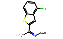 CO/N=C(/C(=O)O)c1cc2c(Cl)cccc2s1